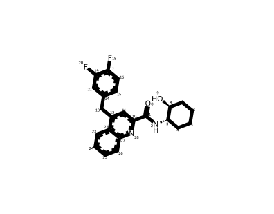 O=C(N[C@H]1CCCC[C@@H]1O)c1cc(Cc2ccc(F)c(F)c2)c2ccccc2n1